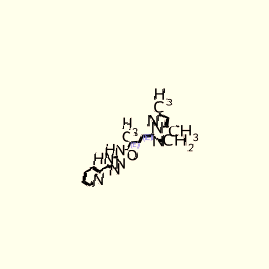 C=N/C(=C\C=C(/C)C(=O)Nc1nnc(-c2ccccn2)[nH]1)n1nc(C)cc1C